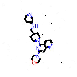 c1cncc(NCC2CCN(c3nc(N4CCOCC4)cc4ncccc34)CC2)c1